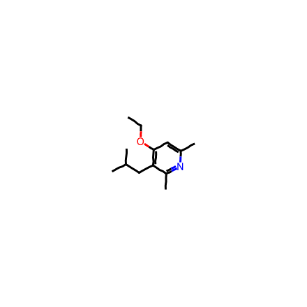 CCOc1cc(C)nc(C)c1CC(C)C